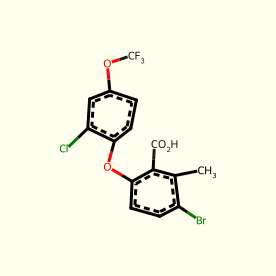 Cc1c(Br)ccc(Oc2ccc(OC(F)(F)F)cc2Cl)c1C(=O)O